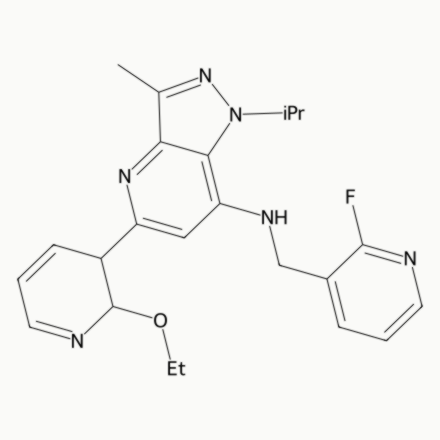 CCOC1N=CC=CC1c1cc(NCc2cccnc2F)c2c(n1)c(C)nn2C(C)C